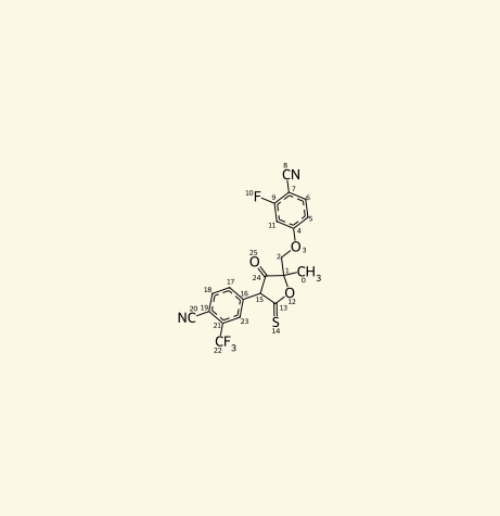 CC1(COc2ccc(C#N)c(F)c2)OC(=S)C(c2ccc(C#N)c(C(F)(F)F)c2)C1=O